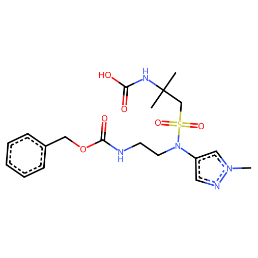 Cn1cc(N(CCNC(=O)OCc2ccccc2)S(=O)(=O)CC(C)(C)NC(=O)O)cn1